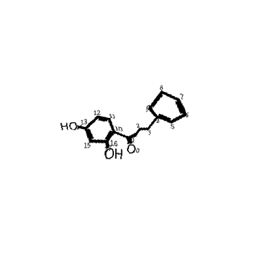 O=C(CCc1ccccc1)c1ccc(O)cc1O